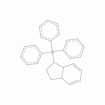 C1=CC2CCC([Si](c3ccccc3)(c3ccccc3)c3ccccc3)C2C=C1